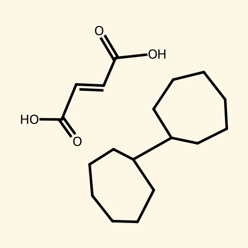 C1CCCC(C2CCCCCC2)CC1.O=C(O)/C=C/C(=O)O